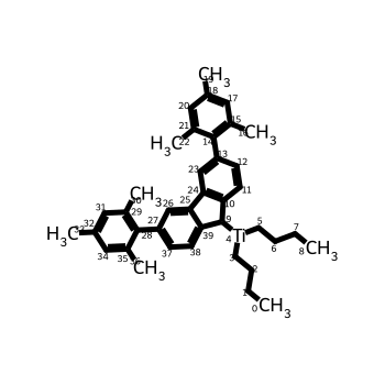 CCC[CH2][Ti]([CH2]CCC)[CH]1c2ccc(-c3c(C)cc(C)cc3C)cc2-c2cc(-c3c(C)cc(C)cc3C)ccc21